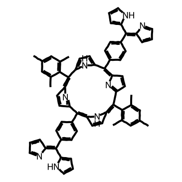 Cc1cc(C)c(-c2c3nc(c(-c4ccc(/C(=C5\C=CC=N5)c5ccc[nH]5)cc4)c4ccc([nH]4)c(-c4c(C)cc(C)cc4C)c4nc(c(-c5ccc(/C(=C6\C=CC=N6)c6ccc[nH]6)cc5)c5ccc2[nH]5)C=C4)C=C3)c(C)c1